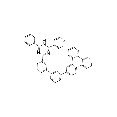 c1ccc(C2=NC(c3cccc(-c4cccc(-c5ccc6c7ccccc7c7ccccc7c6c5)c4)c3)=NC(c3ccccc3)N2)cc1